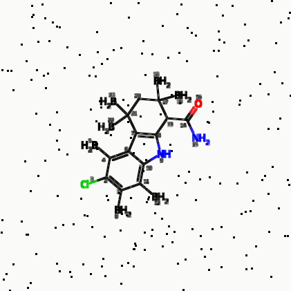 Bc1c(Cl)c(B)c2c3c([nH]c2c1B)C(C(N)=O)C(B)(B)CC3(B)B